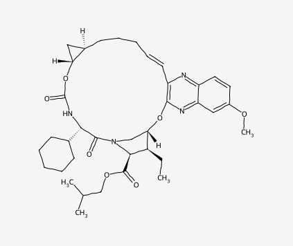 CC[C@@H]1[C@@H]2CN(C(=O)[C@H](C3CCCCC3)NC(=O)O[C@@H]3C[C@H]3CCC/C=C/c3nc4ccc(OC)cc4nc3O2)[C@@H]1C(=O)OCC(C)C